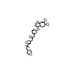 COC1=CC2=NC=NC(O[C@@H]3C=CC=C(CC(=O)CC4C=C(C(C)(C)CC5CCOCC5)OC4)C3)C2CCC1OC